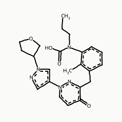 CCCN(C(=O)O)c1cccc(Cc2nn(-c3cnn(C4CCOC4)c3)ccc2=O)c1C